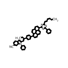 C=C/C=C\C=C\c1nc(-c2ccccc2)nc(-c2ccc3ccc4c(-c5ccc(/C(C=C)=C/c6cc7ccc(C#N)cc7n6-c6ccccc6)cc5)ccc5ccc2c3c54)n1